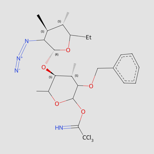 CCC1O[C@H](O[C@@H]2C(C)OC(OC(=N)C(Cl)(Cl)Cl)C(OCc3ccccc3)[C@H]2C)C(N=[N+]=[N-])[C@@H](C)[C@@H]1C